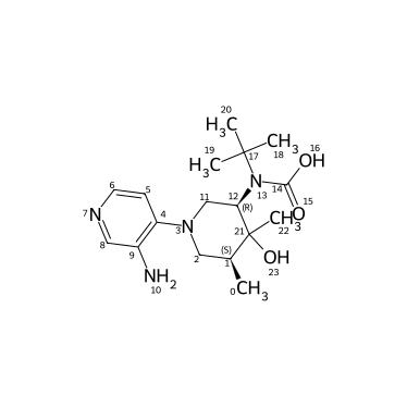 C[C@H]1CN(c2ccncc2N)C[C@@H](N(C(=O)O)C(C)(C)C)C1(C)O